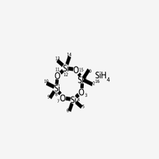 C[Si]1(C)O[Si](C)(C)O[Si](C)(C)O[Si](C)(C)O1.[SiH4]